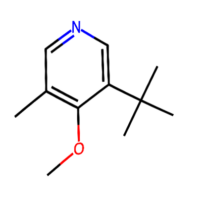 COc1c(C)cncc1C(C)(C)C